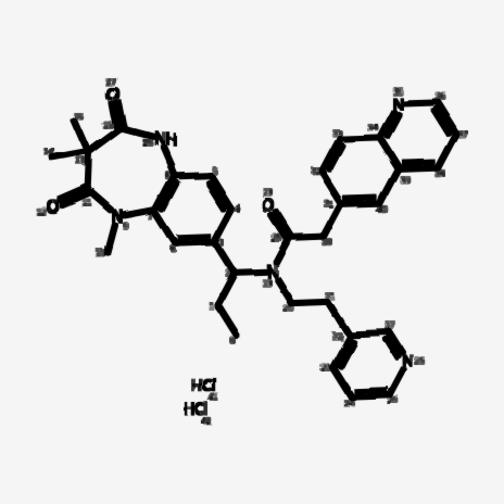 CCC(c1ccc2c(c1)N(C)C(=O)C(C)(C)C(=O)N2)N(CCc1cccnc1)C(=O)Cc1ccc2ncccc2c1.Cl.Cl